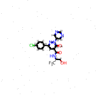 O=C(N[C@H](CO)C(F)(F)F)c1cc(-c2ccc(Cl)cc2)nn(-c2cncnc2)c1=O